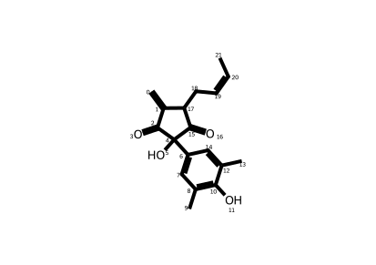 C=C1C(=O)C(O)(c2cc(C)c(O)c(C)c2)C(=O)C1C/C=C\C